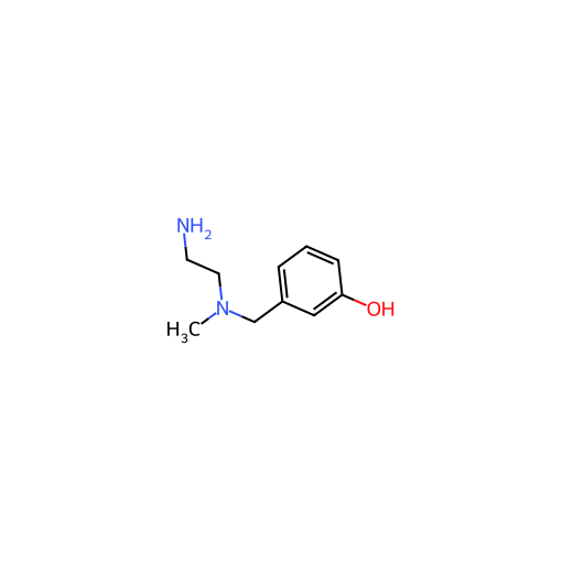 CN(CCN)Cc1cccc(O)c1